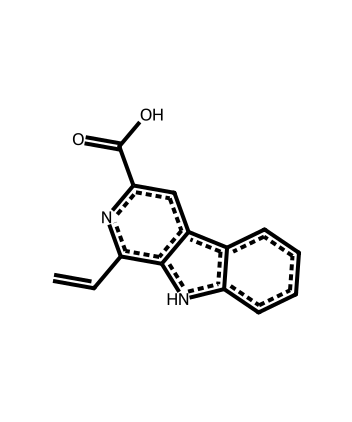 C=Cc1nc(C(=O)O)cc2c1[nH]c1ccccc12